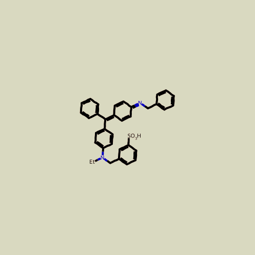 CCN(Cc1cccc(S(=O)(=O)O)c1)c1ccc(C(=C2C=CC(=NCc3ccccc3)C=C2)c2ccccc2)cc1